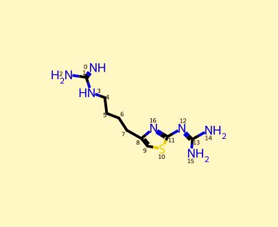 N=C(N)NCCCCc1csc(N=C(N)N)n1